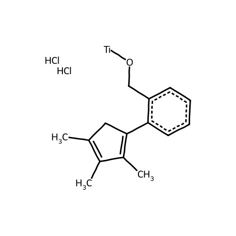 CC1=C(C)C(C)=C(c2ccccc2C[O][Ti])C1.Cl.Cl